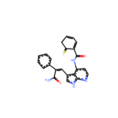 NC(=O)C(=Cc1c[nH]c2nccc(NC(=O)C3=CC=CCC3=S)c12)c1ccccc1